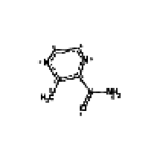 Cc1nccnc1C(N)=O